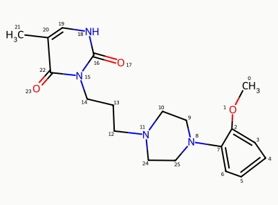 COc1ccccc1N1CCN(CCCn2c(=O)[nH]cc(C)c2=O)CC1